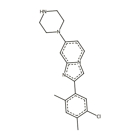 Cc1cc(C)c(-c2cn3ccc(N4CCNCC4)cc3n2)cc1Cl